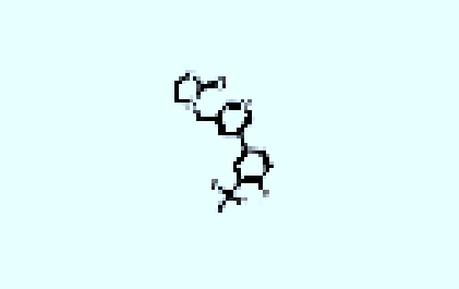 CC(F)(F)c1cc(-c2cncc(CN3CCOC3=O)c2)ccc1F